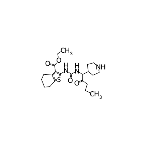 CCCC(=O)C(NC(=O)Nc1sc2c(c1C(=O)OCC)CCCC2)C1CCNCC1